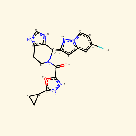 O=C(c1nnc(C2CC2)o1)N1CCc2[nH]cnc2[C@H]1c1cc2cc(F)ccn2n1